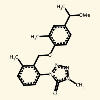 COC(C)c1ccc(OCc2c(C)cccc2-n2nnn(C)c2=O)c(C)c1